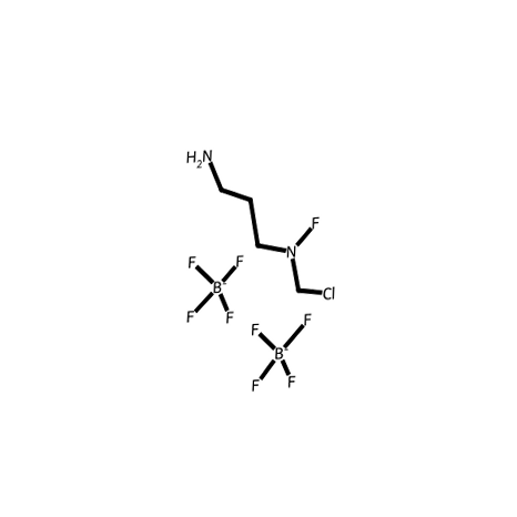 F[B-](F)(F)F.F[B-](F)(F)F.NCCCN(F)CCl